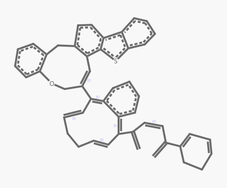 C=C(/C=C\C(=C)C1=c2/cccc/c2=C(\C2=C\c3c(ccc4c3sc3ccccc34)Cc3ccccc3OC2)/C=C/CC/C=C/1)C1=CC=CCC1